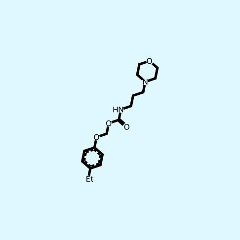 CCc1ccc(OCOC(=O)NCCCN2CCOCC2)cc1